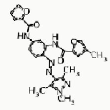 Cc1coc(C(=O)Nc2cc(NC(=O)c3ccco3)ccc2/N=N/c2c(C)nn(C)c2C)c1